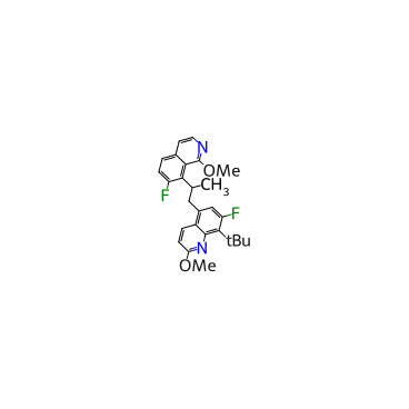 COc1ccc2c(CC(C)c3c(F)ccc4ccnc(OC)c34)cc(F)c(C(C)(C)C)c2n1